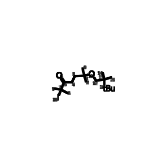 CC(C)(CCC(=O)C(C)(C)I)OCC(C)(C)C(C)(C)C